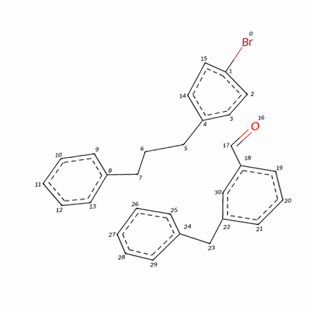 Brc1ccc(CCCc2ccccc2)cc1.O=Cc1cccc(Cc2ccccc2)c1